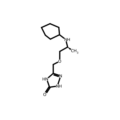 C[C@@H](COCc1n[nH]c(=O)[nH]1)NC1CCCCC1